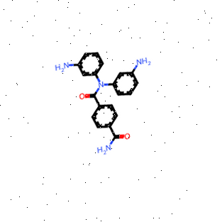 NC(=O)c1ccc(C(=O)N(c2cccc(N)c2)c2cccc(N)c2)cc1